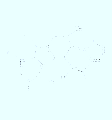 CC(C)c1nc(C(C)C)c2c(c[n+](CC(C)c3nc(C(C)C)c(C(C)C)c4ocnc34)n2C)c1C(C)C